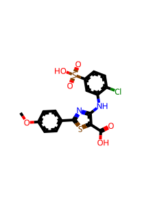 COc1ccc(-c2nc(Nc3cc(S(=O)(=O)O)ccc3Cl)c(C(=O)O)s2)cc1